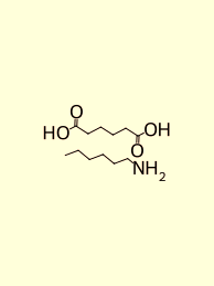 CCCCCCN.O=C(O)CCCCC(=O)O